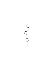 [2H]C([2H])(Oc1cncc(C(N)=O)c1)c1cccc(NC(=O)c2ccc(CN3CC(F)(F)C3)cc2)c1